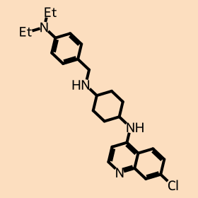 CCN(CC)c1ccc(CNC2CCC(Nc3ccnc4cc(Cl)ccc34)CC2)cc1